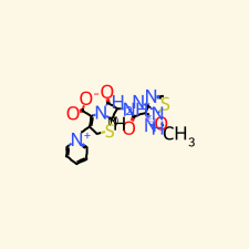 CO/N=C(/C(=O)NC1C(=O)N2C(C(=O)[O-])=C(C[n+]3ccccc3)CS[C@H]12)C1(N)N=CSN1